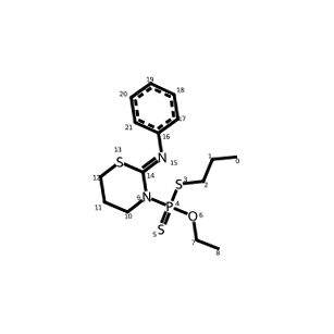 CCCSP(=S)(OCC)N1CCCSC1=Nc1ccccc1